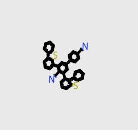 N#Cc1ccc(-c2cc(-c3cccc4c3sc3ccccc34)c(C#N)c(-c3cccc4sc5ccccc5c34)c2)cc1